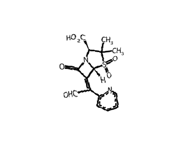 CC1(C)[C@H](C(=O)O)N2C(=O)/C(=C(\C=O)c3ccccn3)[C@H]2S1(=O)=O